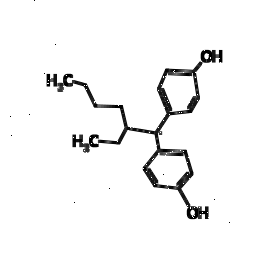 CCCCC(CC)[C](c1ccc(O)cc1)c1ccc(O)cc1